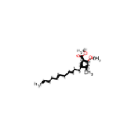 CCCCCCCCCCCc1cc(C(=O)OC)c(OC)cc1C